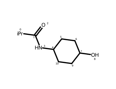 CC(C)C(=O)NC1CCC(O)CC1